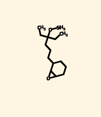 CCC(CC)(CCCC1CCCC2OC12)O[SiH3]